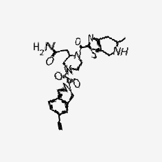 C#Cc1ccc2cn(S(=O)(=O)N3CCN(C(=O)c4nc5c(s4)CNC(C)C5)C(CC(N)=O)C3)cc2c1